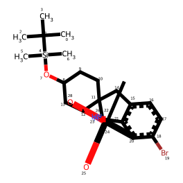 CC(C)(C)[Si](C)(C)OC1CCC2(CC1)Cc1ccc(Br)cc1C21NC(=O)NC1=O